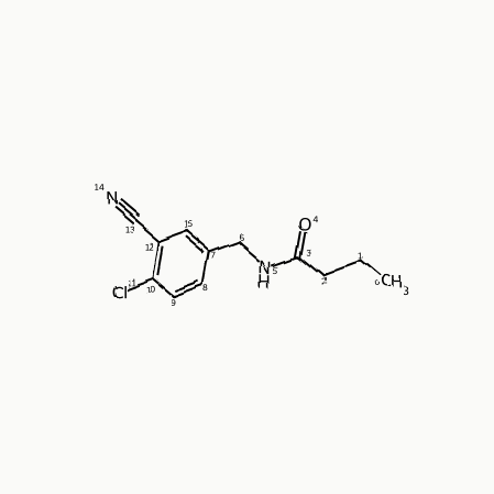 CCCC(=O)NCc1ccc(Cl)c(C#N)c1